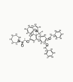 CC(c1ccc(OCC(=O)N2CCCCCC2)cc1)(c1ccc(OCc2ccccc2)c(OCc2ccccc2)c1)n1ccc2ccccc21